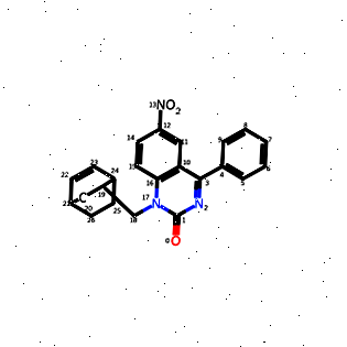 O=c1nc(-c2ccccc2)c2cc([N+](=O)[O-])ccc2n1CC1CC2C=CC1CC2